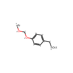 CCCCCCCCCc1ccc(O[CH]OCCC)cc1